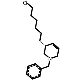 ClCCCCCC[C@@H]1C=CCN(Cc2ccccc2)C1